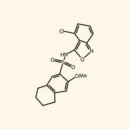 COc1cc2c(cc1S(=O)(=O)Nc1onc3cccc(Cl)c13)CCCC2